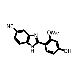 COc1cc(O)ccc1-c1nc2cc(C#N)ccc2[nH]1